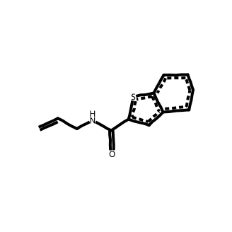 C=CCNC(=O)c1cc2ccccc2s1